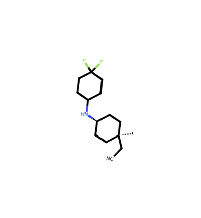 C[C@]1(CC#N)CC[C@@H](NC2CCC(F)(F)CC2)CC1